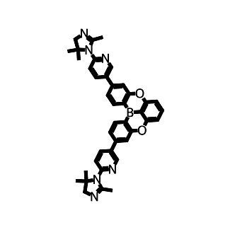 CC1=NCC(C)(C)N1c1ccc(-c2ccc3c(c2)Oc2cccc4c2B3c2ccc(-c3ccc(N5C(C)=NCC5(C)C)nc3)cc2O4)cn1